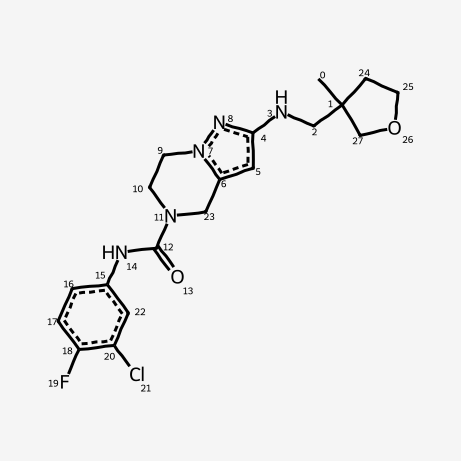 CC1(CNc2cc3n(n2)CCN(C(=O)Nc2ccc(F)c(Cl)c2)C3)CCOC1